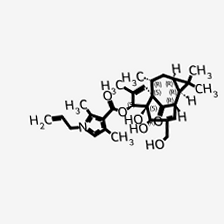 C=CCn1cc(C)c(C(=O)O[C@H]2C(C)=C[C@]34C(=O)[C@@H](C=C(CO)[C@@H](O)[C@]23O)[C@H]2[C@@H](C[C@H]4C)C2(C)C)c1C